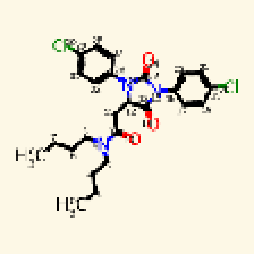 CCCCN(CCCC)C(=O)CC1C(=O)N(c2ccc(Cl)cc2)C(=O)N1c1ccc(Cl)cc1